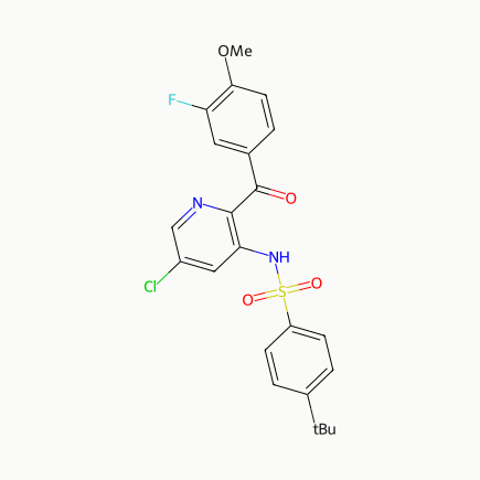 COc1ccc(C(=O)c2ncc(Cl)cc2NS(=O)(=O)c2ccc(C(C)(C)C)cc2)cc1F